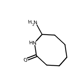 NC1CCCCCC(=O)N1